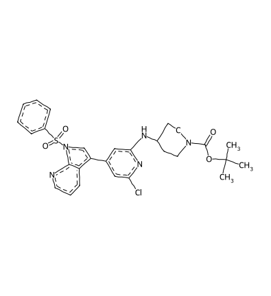 CC(C)(C)OC(=O)N1CCC(Nc2cc(-c3cn(S(=O)(=O)c4ccccc4)c4ncccc34)cc(Cl)n2)CC1